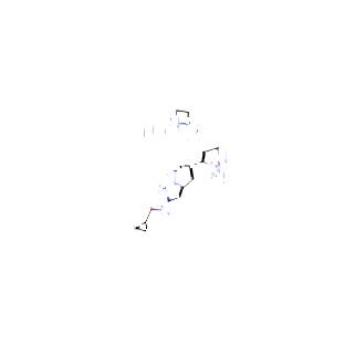 CN1CC[C@@H]1COc1cnn(C)c1-c1ccn2nc(NC(=O)C3CC3(F)F)cc2c1